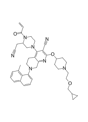 C=CC(=O)N1CCN(c2c(C#N)c(OC3CCN(CCOCC4CC4)CC3)nc3c2CCN(c2cccc4cccc(C)c24)C3)CC1CC#N